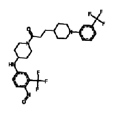 O=Nc1ccc(NC2CCN(C(=O)CCC3CCN(c4cccc(C(F)(F)F)c4)CC3)CC2)cc1C(F)(F)F